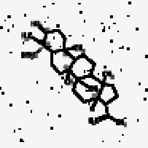 C=C(C)C1CCC2(C)C3CCC4[C@@]5(C)CC[C@H](O)[C@@](C)(C(=O)O)C5CC[C@@]4(C)C3(C)CC[C@@H]12